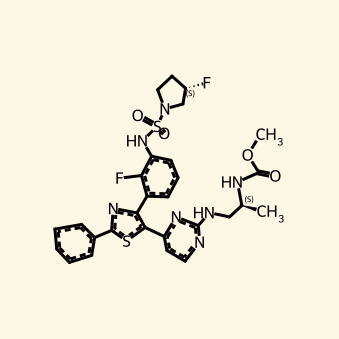 COC(=O)N[C@@H](C)CNc1nccc(-c2sc(-c3ccccc3)nc2-c2cccc(NS(=O)(=O)N3CC[C@H](F)C3)c2F)n1